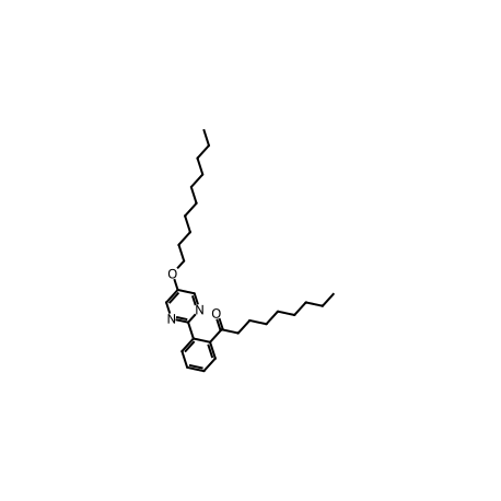 CCCCCCCCCCOc1cnc(-c2ccccc2C(=O)CCCCCCCC)nc1